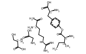 CC[C@H](C)[C@H](N)C(=O)Oc1ccc(C[C@H](N)C(=O)O)cc1.N=C(N)NCCC[C@H](N)C(N)=O.NCC(=O)O.N[C@@H](CO)C(=O)O